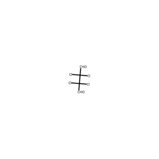 O=CC(Cl)(Cl)C(Cl)(Cl)C=O